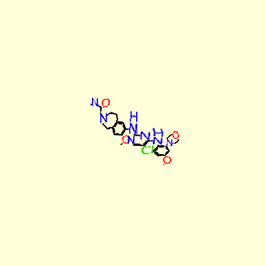 COc1ccc(Nc2nc(Nc3cc4c(cc3OC)CCN(CC(=O)N(C)C)CC4)ncc2Cl)c(N2CCOCC2)c1